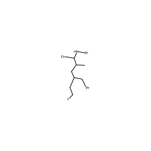 CCC(NC(C)C)C(C)CC(CCF)CC(C)C